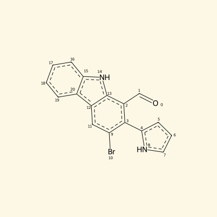 O=Cc1c(-c2ccc[nH]2)c(Br)cc2c1[nH]c1ccccc12